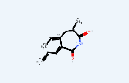 C=C/C=C1/C(=O)NC(=O)C(C)C/C1=C/C